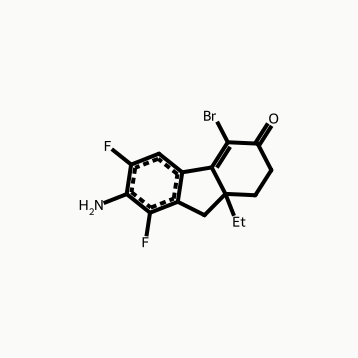 CCC12CCC(=O)C(Br)=C1c1cc(F)c(N)c(F)c1C2